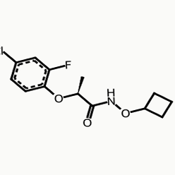 C[C@H](Oc1ccc(Cl)cc1F)C(=O)NOC1CCC1